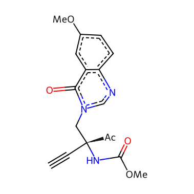 C#C[C@](Cn1cnc2ccc(OC)cc2c1=O)(NC(=O)OC)C(C)=O